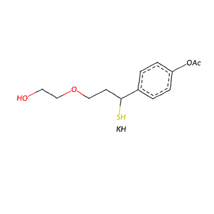 CC(=O)Oc1ccc(C(S)CCOCCO)cc1.[KH]